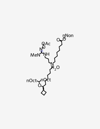 CCCCCCCCCOC(=O)CCCCCCCN(CCCCCCCC(OC(CCCCCCCC)CCCCCCCC)=C1CCC1)CCCN/C(=N\OOC(C)=O)NC.O